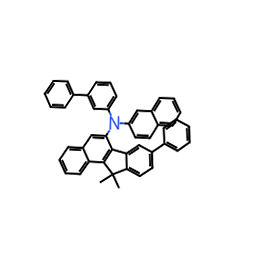 CC1(C)c2ccc(-c3ccccc3)cc2-c2c(N(c3cccc(-c4ccccc4)c3)c3ccc4ccccc4c3)cc3ccccc3c21